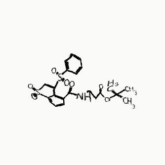 CC(C)(C)OC(=O)CCNC(=O)c1cccc2c1C(S(=O)(=O)c1ccccc1)CS2(=O)=O